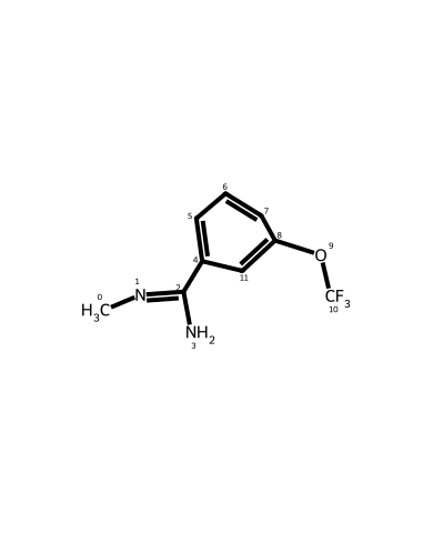 C/N=C(\N)c1cccc(OC(F)(F)F)c1